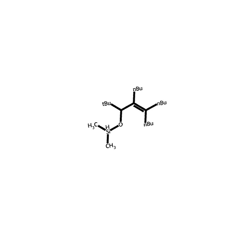 CCCCC(CCCC)=C(CCCC)C(O[SiH](C)C)C(C)(C)C